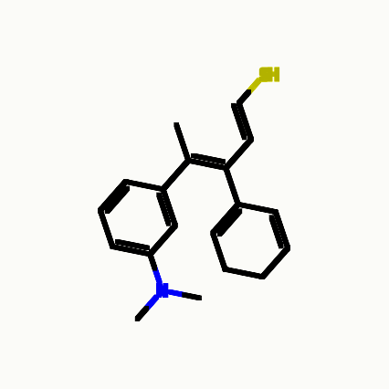 CC(=C(C=CS)C1=CCCC=C1)c1cccc(N(C)C)c1